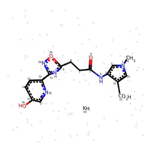 Cn1cc(NC(=O)CCc2nc(-c3ccc(O)cn3)no2)c(C(=O)O)c1.[KH]